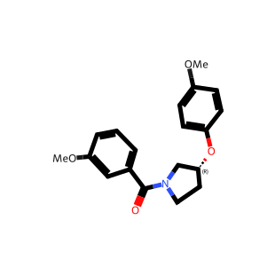 COc1ccc(O[C@@H]2CCN(C(=O)c3cccc(OC)c3)C2)cc1